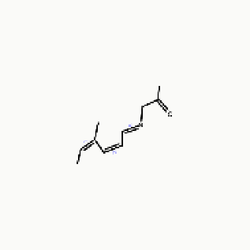 C\C=C(C)/C=C\C=N\CC(C)=O